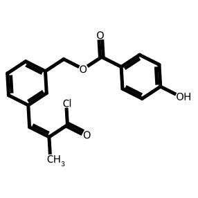 C/C(=C/c1cccc(COC(=O)c2ccc(O)cc2)c1)C(=O)Cl